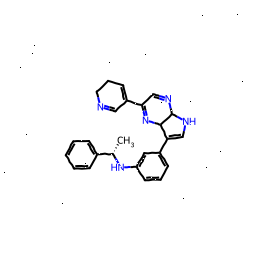 C[C@H](Nc1cccc(C2=CNC3N=CC(C4=CCCN=C4)=NC23)c1)c1ccccc1